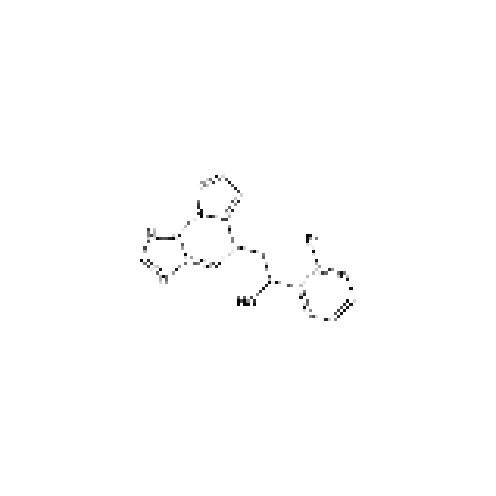 OC(CC1C=C2N=CN=C2n2cccc21)c1ccccc1Br